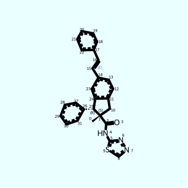 C[C@]1(C(=O)Nc2nncs2)Cc2ccc(/C=C/c3ccccc3)cc2[C@H]1c1ccccc1